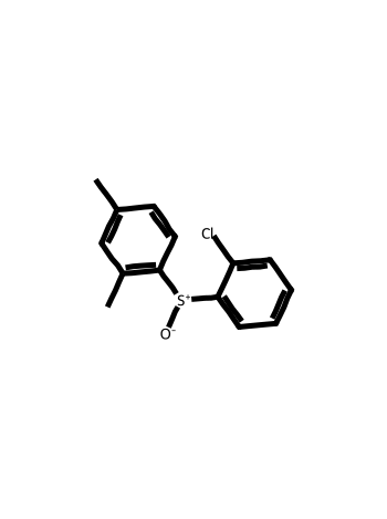 Cc1ccc([S+]([O-])c2ccccc2Cl)c(C)c1